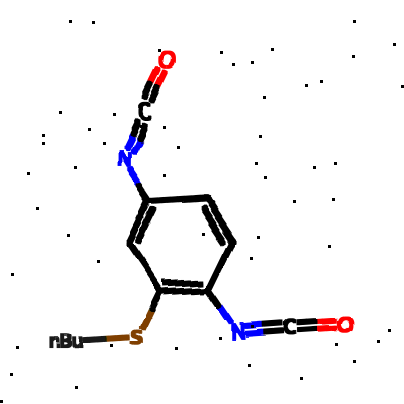 CCCCSc1cc(N=C=O)ccc1N=C=O